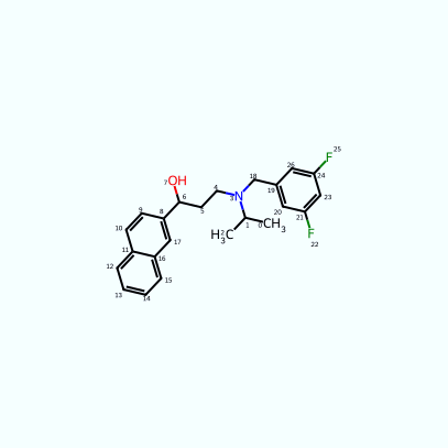 CC(C)N(CCC(O)c1ccc2ccccc2c1)Cc1cc(F)cc(F)c1